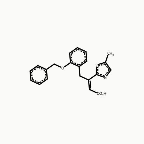 Cc1cnc(C(=CC(=O)O)Cc2ccccc2OCc2ccccc2)s1